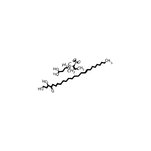 CCC(P(=O)=O)[N+](C)(C)CCC(O)O.CCCCCCCCC=CCCCCCCCCCCCC(=O)C(O)CCO